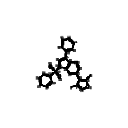 Cc1noc(C)c1-c1cnc2c(-c3cccnc3)cn(S(=O)(=O)c3ccccc3)c2c1